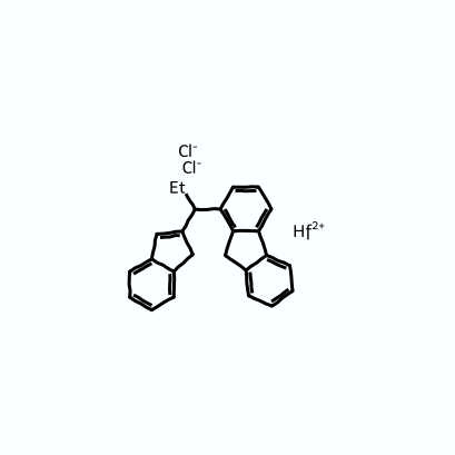 CCC(C1=Cc2ccccc2C1)c1cccc2c1Cc1ccccc1-2.[Cl-].[Cl-].[Hf+2]